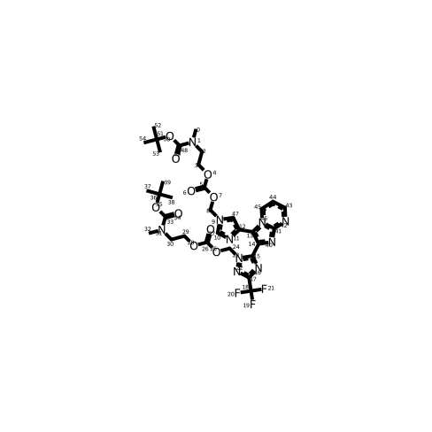 CN(CCOC(=O)OCn1cnc(-c2c(-c3nc(C(F)(F)F)nn3COC(=O)OCCN(C)C(=O)OC(C)(C)C)nc3ncccn23)c1)C(=O)OC(C)(C)C